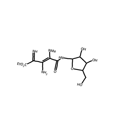 CCOC(=O)C(=N)/C(N)=C(\NC)C(=O)NC1OC(CO)C(O)C1O